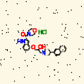 Cl.O=C(c1cc2c(OCC(O)CN3CCC(c4ccc5ccccc5c4)CC3)cccc2[nH]1)N1CCOCC1